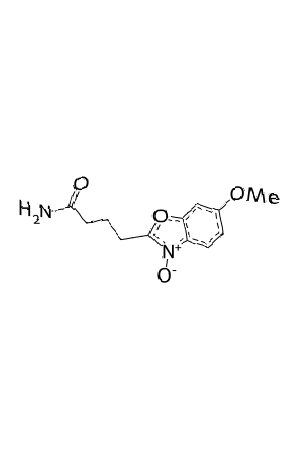 COc1ccc2c(c1)oc(CCCC(N)=O)[n+]2[O-]